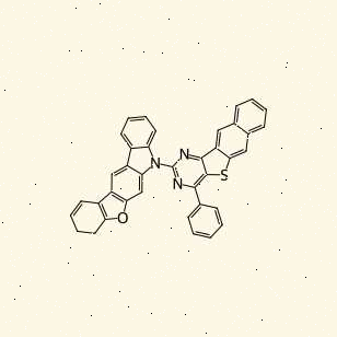 C1=Cc2c(oc3cc4c(cc23)c2ccccc2n4-c2nc(-c3ccccc3)c3sc4cc5ccccc5cc4c3n2)CC1